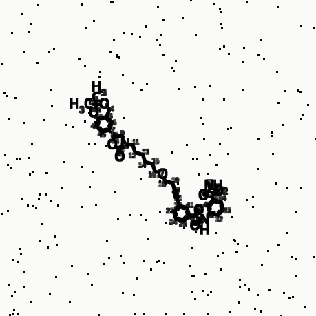 CC1(C)OCc2cc([C@@H]3CN(CCCCCCOCCC#Cc4cccc(S(=O)(=O)Nc5cccc(S(N)(=O)=O)c5)c4)C(=O)O3)ccc2O1